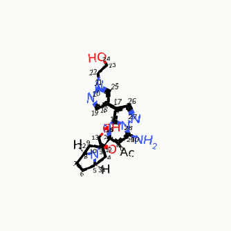 CC(=O)c1c([C@H]2C[C@H]3CC[C@@H](C2)N3C(=O)CO)nc2c(-c3cnn(CCO)c3)cnn2c1N